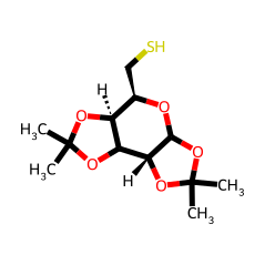 CC1(C)OC2O[C@H](CS)[C@@H]3OC(C)(C)OC3[C@H]2O1